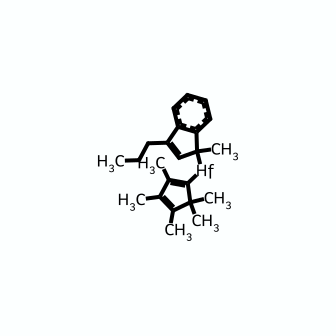 CCCC1=C[C](C)([Hf][C]2=C(C)C(C)=C(C)C2(C)C)c2ccccc21